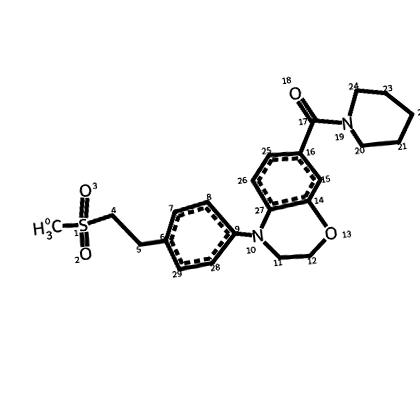 CS(=O)(=O)CCc1ccc(N2CCOc3cc(C(=O)N4CCCCC4)ccc32)cc1